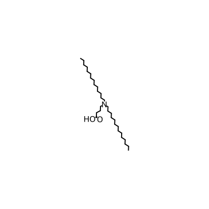 CCCCCCCCCCCCCCN(CCCCCCCCCCCCCC)CCCC(=O)O